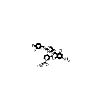 CC(C)(C)OC(=O)N1CCC[C@@H](Cn2c(-c3c(Cl)cc(N)cc3Cl)nc3cnc(NCc4ccc(F)c(F)c4)nc32)C1